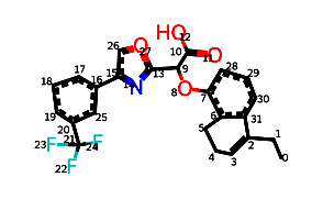 CCC1=CCCc2c(OC(C(=O)O)c3nc(-c4cccc(C(F)(F)F)c4)co3)cccc21